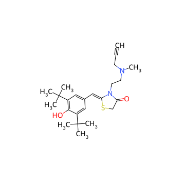 C#CCN(C)CCN1C(=O)CSC1=Cc1cc(C(C)(C)C)c(O)c(C(C)(C)C)c1